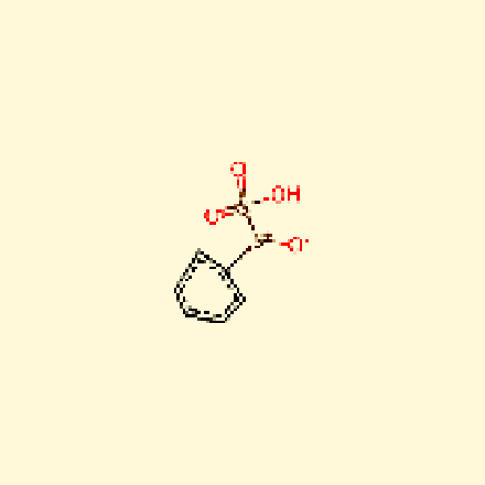 O=S(=O)(O)[S+]([O-])c1ccccc1